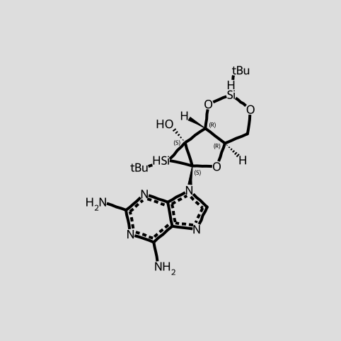 CC(C)(C)[SiH]1OC[C@H]2O[C@]3(n4cnc5c(N)nc(N)nc54)[SiH](C(C)(C)C)[C@@]3(O)[C@@H]2O1